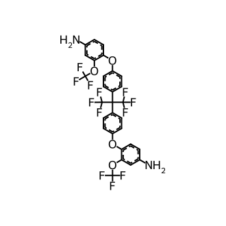 Nc1ccc(Oc2ccc(C(c3ccc(Oc4ccc(N)cc4OC(F)(F)F)cc3)(C(F)(F)F)C(F)(F)F)cc2)c(OC(F)(F)F)c1